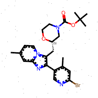 Cc1ccn2c(C[C@H]3CN(C(=O)OC(C)(C)C)CCO3)c(-c3cnc(Br)cc3C)nc2c1